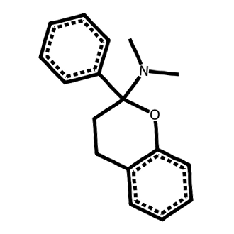 CN(C)C1(c2ccccc2)CCc2ccccc2O1